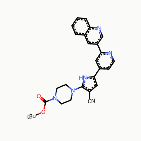 CC(C)(C)OC(=O)N1CCN(c2[nH]c(-c3ccnc(-c4cnc5ccccc5c4)c3)cc2C#N)CC1